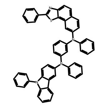 c1ccc(-c2nc3ccc4ccc(N(c5ccccc5)c5cccc(N(c6ccccc6)c6ccc7c(c6)c6ccccc6n7-c6ccccc6)c5)cc4c3s2)cc1